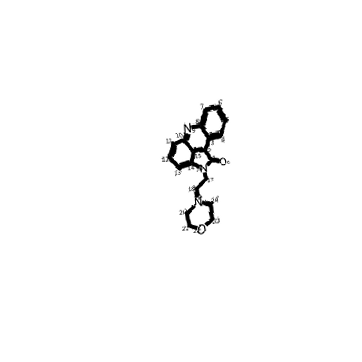 O=C1c2c3ccccc3nc3cccc(c23)N1CCN1CCOCC1